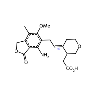 COc1c(C)c2c(c(N)c1C/C=C1\CCOCC1CC(=O)O)C(=O)OC2